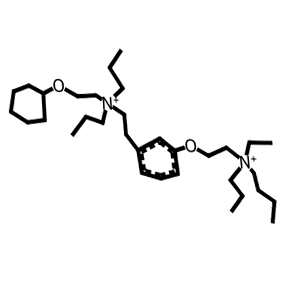 CCCC[N+](CC)(CCC)CCOc1cccc(CC[N+](CCC)(CCC)CCOC2CCCCC2)c1